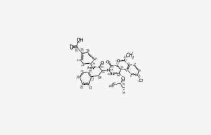 CC(=O)c1ccc(Cl)cc1-c1cc(=O)n(C(Cc2ccccc2)C(=O)Nc2ccc(C(=O)O)cc2)nc1OC(F)F